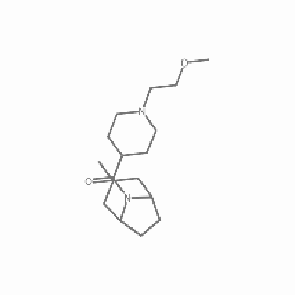 COCCN1CCC(C(=O)N2C3CCC2CC(C)C3)CC1